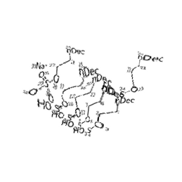 CCCCCCCCCCCCOS(=O)(=O)O.CCCCCCCCCCCCOS(=O)(=O)O.CCCCCCCCCCCCOS(=O)(=O)O.CCCCCCCCCCCCOS(=O)(=O)O.CCCCCCCCCCCCOS(=O)(=O)O.CCCCCCCCCCCCOS(=O)(=O)[O-].[Na+]